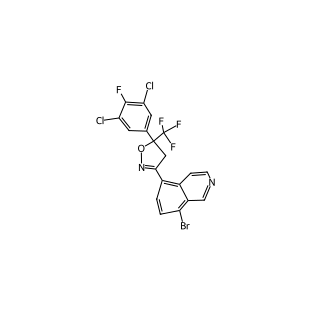 Fc1c(Cl)cc(C2(C(F)(F)F)CC(c3ccc(Br)c4cnccc34)=NO2)cc1Cl